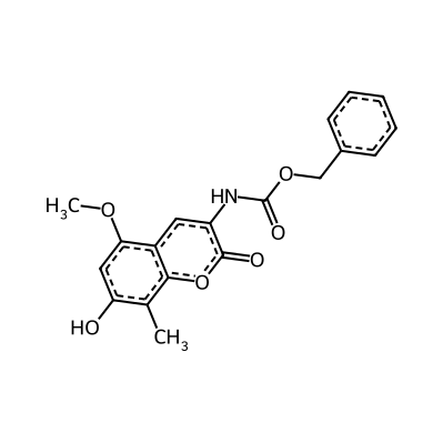 COc1cc(O)c(C)c2oc(=O)c(NC(=O)OCc3ccccc3)cc12